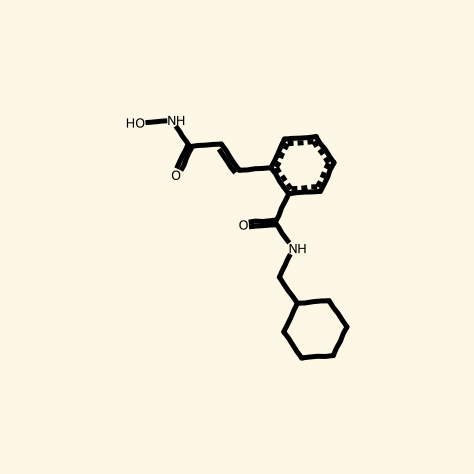 O=C(C=Cc1ccccc1C(=O)NCC1CCCCC1)NO